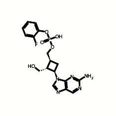 Nc1ncc2ncn([C@@H]3C[C@H](COP(=O)(O)Oc4ccccc4F)[C@H]3CO)c2n1